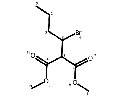 CCCC(Br)C(C(=O)OC)C(=O)OC